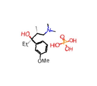 CC[C@@](O)(c1cccc(OC)c1)[C@H](C)CN(C)C.O=P(O)(O)O